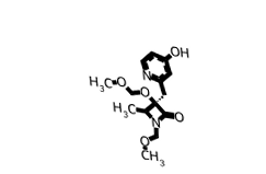 COCO[C@@]1(Cc2cc(O)ccn2)C(=O)N(COC)C1C